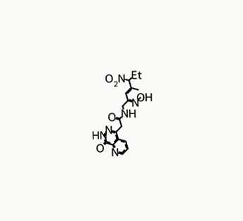 CCC(C(C)=CC(CNC(=O)Cc1n[nH]c(=O)c2ncccc12)=NO)[N+](=O)[O-]